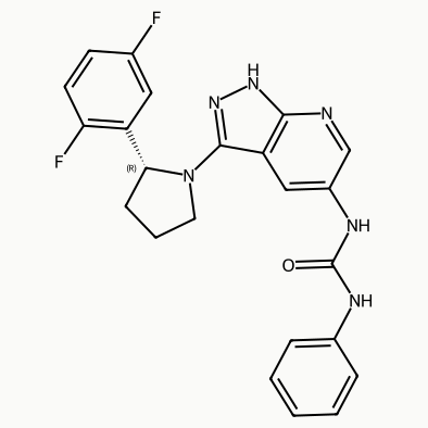 O=C(Nc1ccccc1)Nc1cnc2[nH]nc(N3CCC[C@@H]3c3cc(F)ccc3F)c2c1